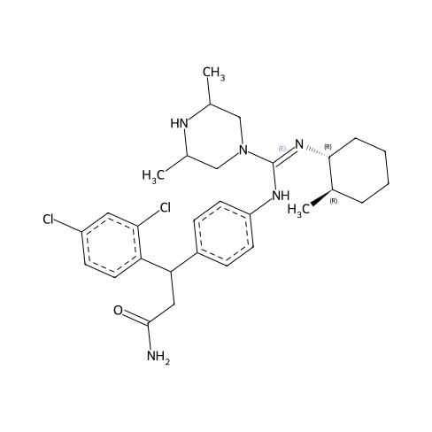 CC1CN(/C(=N/[C@@H]2CCCC[C@H]2C)Nc2ccc(C(CC(N)=O)c3ccc(Cl)cc3Cl)cc2)CC(C)N1